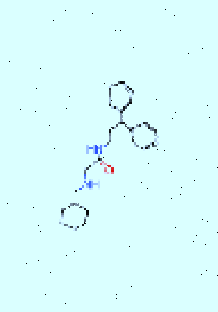 O=C(CNCC1CCCCC1)NCCC(c1ccccc1)c1ccccc1